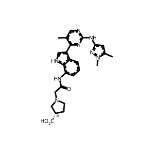 Cc1cnc(Nc2cc(C)n(C)n2)nc1-c1c[nH]c2c(NC(=O)CN3CC[C@H](C(=O)O)C3)cccc12